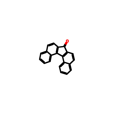 O=C1c2ccc3ccccc3c2-c2c1ccc1ccccc21